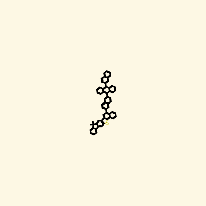 CC1(C)c2ccccc2-c2cc3sc4c5ccccc5c(-c5ccc6cc(-c7c8ccccc8c(-c8ccc9ccccc9c8)c8ccccc78)ccc6c5)cc4c3cc21